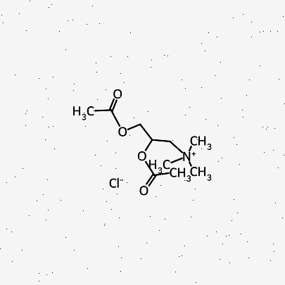 CC(=O)OCC(C[N+](C)(C)C)OC(C)=O.[Cl-]